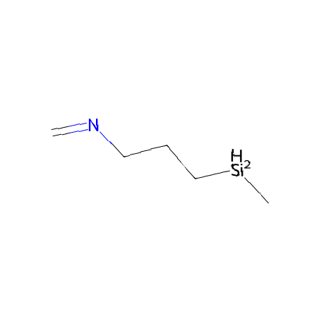 C=NCCC[SiH2]C